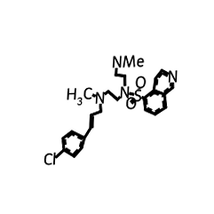 CNCCN(CCN(C)CC=Cc1ccc(Cl)cc1)S(=O)(=O)c1cccc2cnccc12